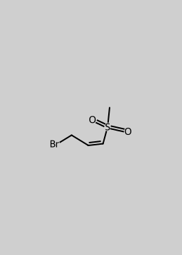 CS(=O)(=O)/C=C\CBr